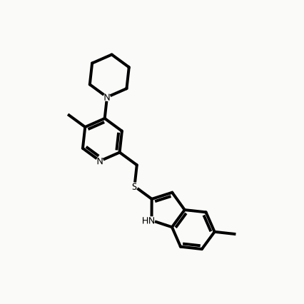 Cc1ccc2[nH]c(SCc3cc(N4CCCCC4)c(C)cn3)cc2c1